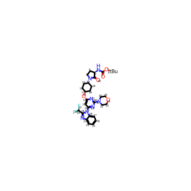 CC(C)(C)OC(=O)N[C@@H]1CCN([C@H]2CC[C@H](Oc3cc(-n4c(C(F)F)nc5ccccc54)nc(N4CCOCC4)n3)CC2)C1=O